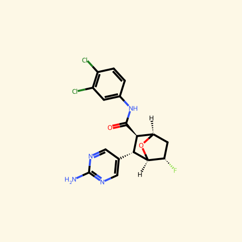 Nc1ncc([C@H]2[C@H]3O[C@H](C[C@@H]3F)[C@@H]2C(=O)Nc2ccc(Cl)c(Cl)c2)cn1